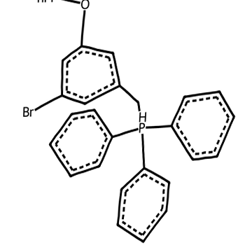 CCCOc1cc(Br)cc(C[PH](c2ccccc2)(c2ccccc2)c2ccccc2)c1